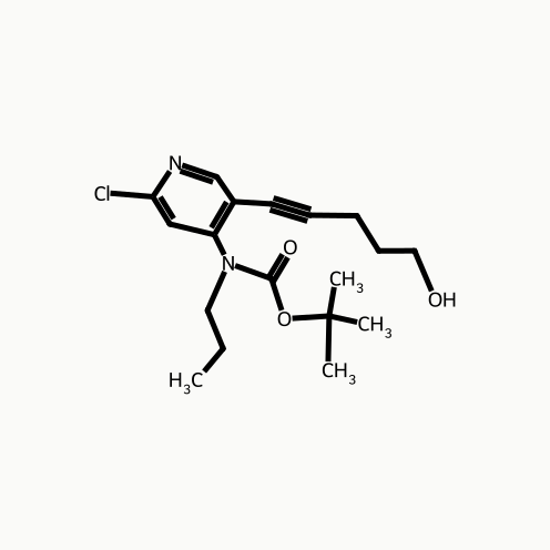 CCCN(C(=O)OC(C)(C)C)c1cc(Cl)ncc1C#CCCCO